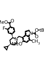 COC(=O)c1ccc([C@@H]2C[C@H](C3CC3)CCN2Cc2c(OC)cc(C)c3c2ccn3C(=O)OC(C)(C)C)cc1F